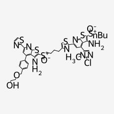 CCCC[S+]([O-])c1sc2nc(-c3nc(CCCC[S+]([O-])c4sc5nc(-c6nccs6)cc(-c6ccc(COCCO)cc6)c5c4N)cs3)cc(-c3cnc(Cl)n3C)c2c1N